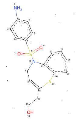 Nc1ccc(S(=O)(=O)N2CC=C(CCO)Sc3ccccc32)cc1